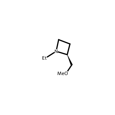 CCN1CC[C@H]1COC